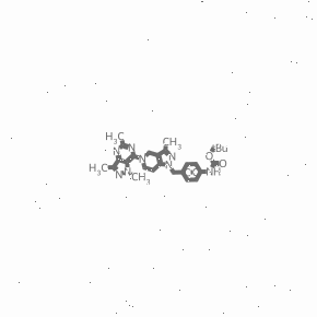 Cc1nc(N2CCc3c(c(C)nn3CC34CCC(NC(=O)OC(C)(C)C)(CC3)CC4)C2)c2c(n1)c(C)nn2C